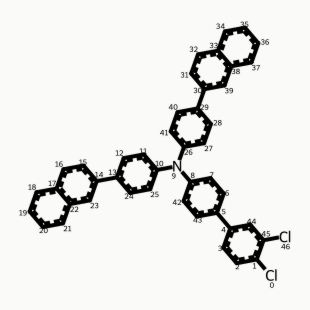 Clc1ccc(-c2ccc(N(c3ccc(-c4ccc5ccccc5c4)cc3)c3ccc(-c4ccc5ccccc5c4)cc3)cc2)cc1Cl